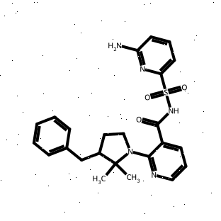 CC1(C)C(Cc2ccccc2)CCN1c1ncccc1C(=O)NS(=O)(=O)c1cccc(N)n1